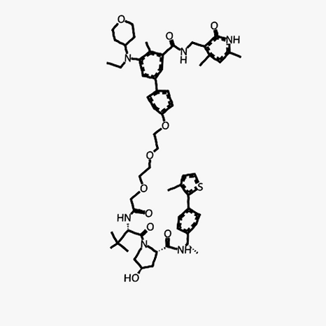 CCN(c1cc(-c2ccc(OCCOCCOCC(=O)N[C@H](C(=O)N3C[C@H](O)C[C@H]3C(=O)N[C@@H](C)c3ccc(-c4sccc4C)cc3)C(C)(C)C)cc2)cc(C(=O)NCc2c(C)cc(C)[nH]c2=O)c1C)C1CCOCC1